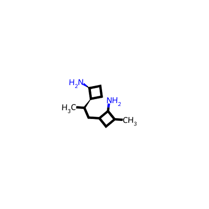 CC1CC(CC(C)[C@@H]2CC[C@@H]2N)C1N